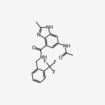 CC(=O)Nc1cc(C(=O)NCc2ccccc2C(F)(F)F)c2nc(C)[nH]c2c1